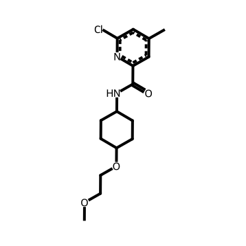 COCCOC1CCC(NC(=O)c2cc(C)cc(Cl)n2)CC1